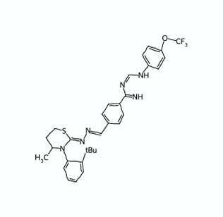 CC1CCS/C(=N\N=C\c2ccc(C(=N)/N=C\Nc3ccc(OC(F)(F)F)cc3)cc2)N1c1ccccc1C(C)(C)C